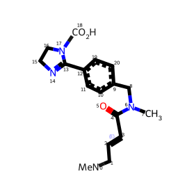 CNC/C=C/C(=O)N(C)Cc1ccc(C2=NCCN2C(=O)O)cc1